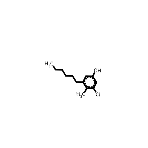 CCCCCCc1cc(O)cc(Cl)c1C